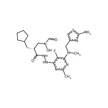 Cc1nc(NNC(=O)[C@H](CC2CCCC2)CN(O)C=O)c(F)c(N(C)Cc2csc(N)n2)n1